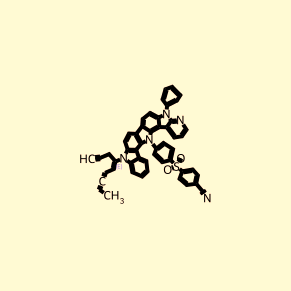 C#CC/C(=C\C=C=CC)n1c2ccccc2c2c1ccc1c3ccc4c(c5cccnc5n4-c4ccccc4)c3n(-c3ccc(S(=O)(=O)c4ccc(C#N)cc4)cc3)c12